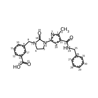 Cc1nc(N2CCN(Cc3cccc(C(=O)O)c3)C2=O)sc1C(=O)NCc1ccccc1